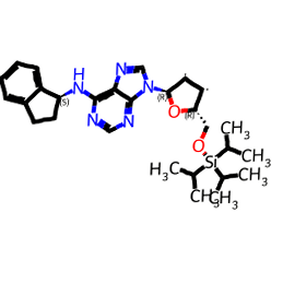 CC(C)[Si](OC[C@H]1[CH][CH][C@H](n2cnc3c(N[C@H]4CCc5ccccc54)ncnc32)O1)(C(C)C)C(C)C